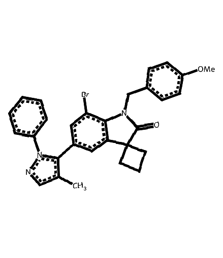 COc1ccc(CN2C(=O)C3(CCC3)c3cc(-c4c(C)cnn4-c4ccccc4)cc(Br)c32)cc1